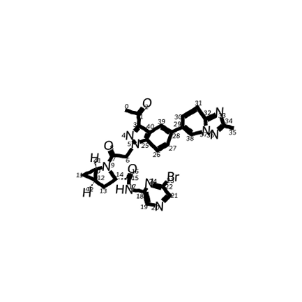 CC(=O)c1nn(CC(=O)N2[C@@H]3C[C@@H]3C[C@H]2C(=O)Nc2cncc(Br)n2)c2ccc(-c3ccc4nc(C)nn4c3)cc12